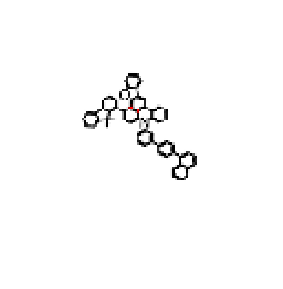 CC1(C)c2ccccc2-c2cccc(-c3ccc(N(c4cccc(-c5ccc(-c6cccc7ccccc67)cc5)c4)c4ccccc4-c4ccc5oc6ccccc6c5c4)cc3)c21